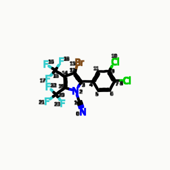 N#Cn1c(-c2ccc(Cl)c(Cl)c2)c(Br)c(C(F)(F)F)c1C(F)(F)F